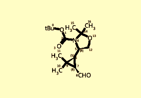 CC(C)(C)OC(=O)N1[C@H]([C@H]2[C@@H](C=O)C2(C)C)COC1(C)C